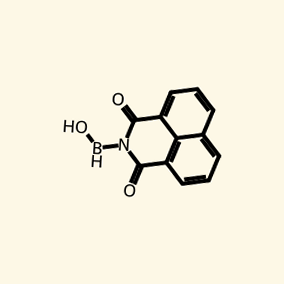 O=C1c2cccc3cccc(c23)C(=O)N1BO